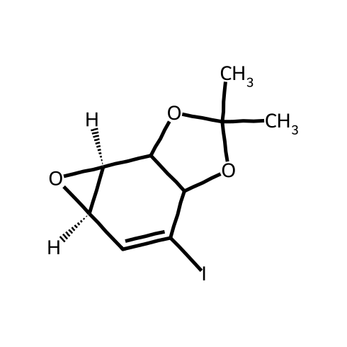 CC1(C)OC2C(I)=C[C@H]3O[C@H]3C2O1